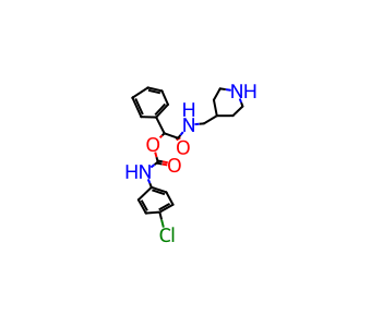 O=C(Nc1ccc(Cl)cc1)OC(C(=O)NCC1CCNCC1)c1ccccc1